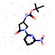 CC(C)(C)OC(=O)NC1CC(=O)N(c2cccc([N+](=O)[O-])n2)C1